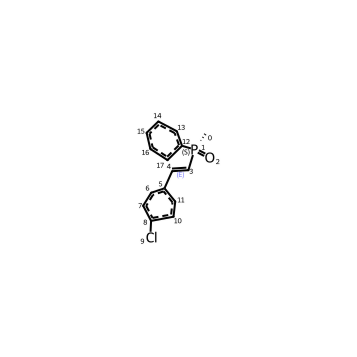 C[P@](=O)(/C=C/c1ccc(Cl)cc1)c1ccccc1